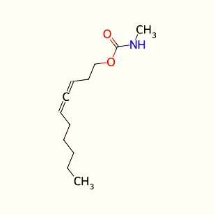 CCCCCC=C=CCCOC(=O)NC